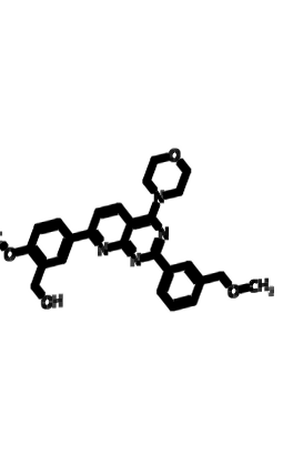 COCc1cccc(-c2nc(N3CCOCC3)c3ccc(-c4ccc(OC)c(CO)c4)nc3n2)c1